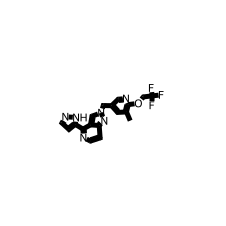 Cc1cc(Cn2cc3c(-c4ccn[nH]4)nccc3n2)cnc1OCC(F)(F)F